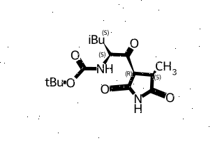 CC[C@H](C)[C@H](NC(=O)OC(C)(C)C)C(=O)[C@@H]1C(=O)NC(=O)[C@H]1C